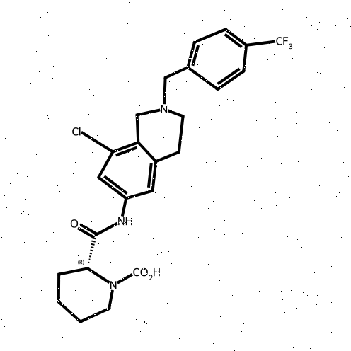 O=C(Nc1cc(Cl)c2c(c1)CCN(Cc1ccc(C(F)(F)F)cc1)C2)[C@H]1CCCCN1C(=O)O